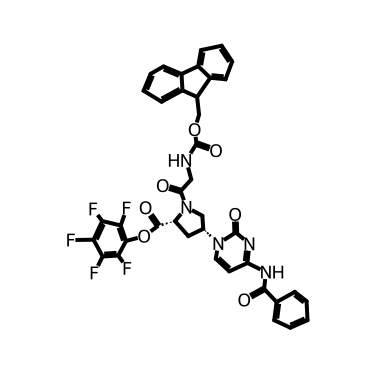 O=C(NCC(=O)N1C[C@H](n2ccc(NC(=O)c3ccccc3)nc2=O)C[C@@H]1C(=O)Oc1c(F)c(F)c(F)c(F)c1F)OCC1c2ccccc2-c2ccccc21